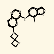 Fc1c(Nc2ncnc3ccc(N4CC5(CCN5)C4)nc23)ccc2cnsc12